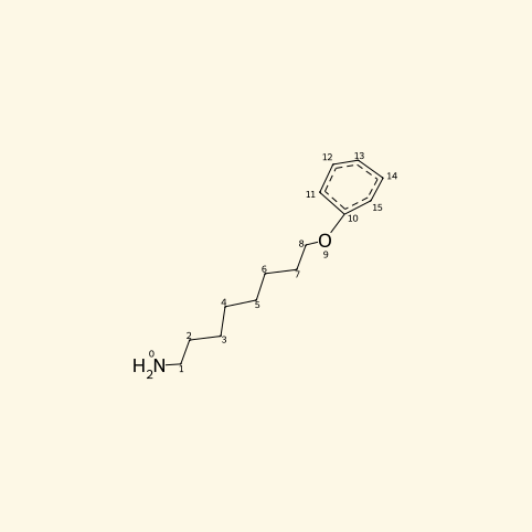 NCCCCCCCCOc1ccccc1